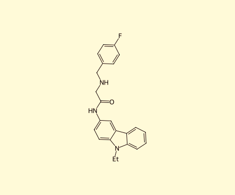 CCn1c2ccccc2c2cc(NC(=O)CNCc3ccc(F)cc3)ccc21